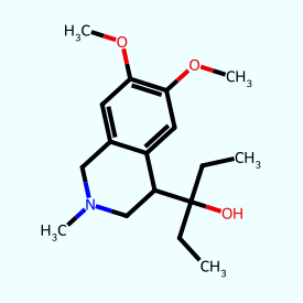 CCC(O)(CC)C1CN(C)Cc2cc(OC)c(OC)cc21